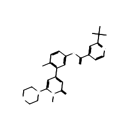 Cc1ccc(NC(=O)c2ccnc(C(C)(F)F)c2)cc1-c1cc(N2CCOCC2)n(C)c(=O)c1